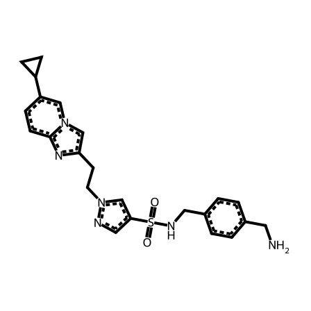 NCc1ccc(CNS(=O)(=O)c2cnn(CCc3cn4cc(C5CC5)ccc4n3)c2)cc1